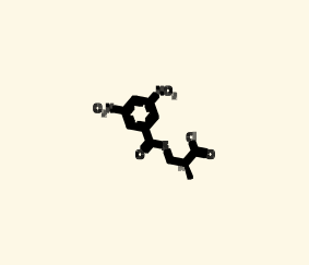 C[C@@H](CSC(=O)c1cc([N+](=O)[O-])cc([N+](=O)[O-])c1)C(=O)Cl